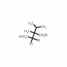 CCOC(=O)C(CC)(CC)C(C)(C(=O)OCC)C(C)C(F)(F)F